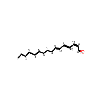 CCCCCCCCCC=C/C=C/C=C\C=O